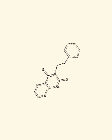 O=c1c2nccnc2[nH]c(=S)n1CCc1ccccc1